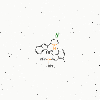 CCCP(CCC)C1=Cc2c(C)ccc(C)c2[CH]1[Hf+2][CH]1C(C2CCCP2)=Cc2ccccc21.[Cl-].[Cl-]